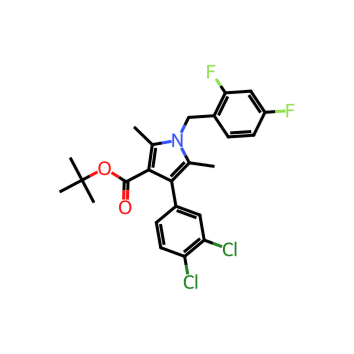 Cc1c(C(=O)OC(C)(C)C)c(-c2ccc(Cl)c(Cl)c2)c(C)n1Cc1ccc(F)cc1F